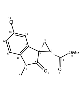 COC(=O)[C@H]1C[C@@]12C(=O)N(C)c1ccc(Cl)cc12